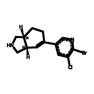 Clc1cc(C2=C[C@@H]3CNC[C@@H]3CC2)cnc1Br